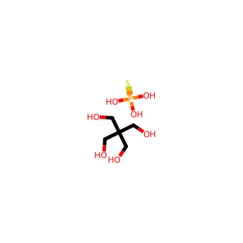 OCC(CO)(CO)CO.OP(O)(O)=S